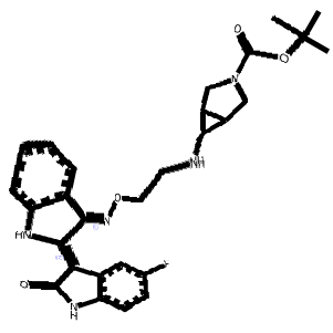 CC(C)(C)OC(=O)N1CC2C(C1)C2NCCO/N=C1/C(=C2/C(=O)Nc3ccc(F)cc32)Nc2ccccc21